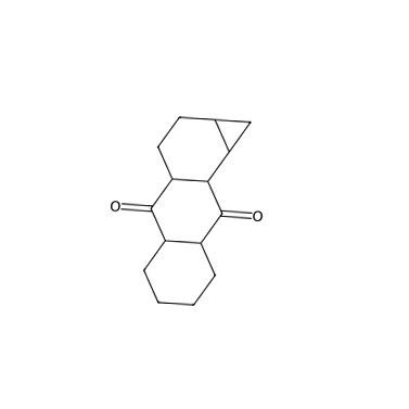 O=C1C2CCCCC2C(=O)C2C1CCC1CC12